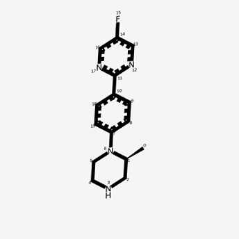 C[C@H]1CNCCN1c1ccc(-c2ncc(F)cn2)cc1